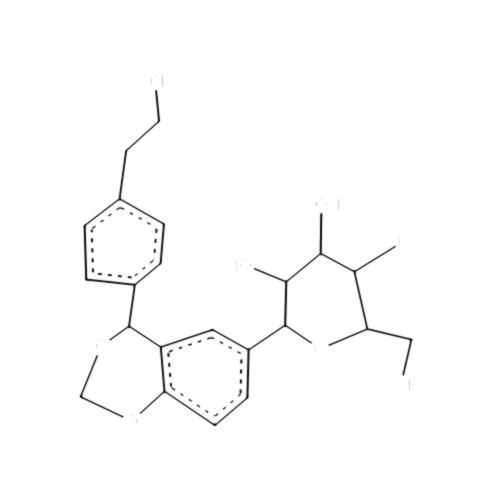 CCCc1ccc(C2OCOc3ccc(C4OC(CO)C(O)C(O)C4O)cc32)cc1